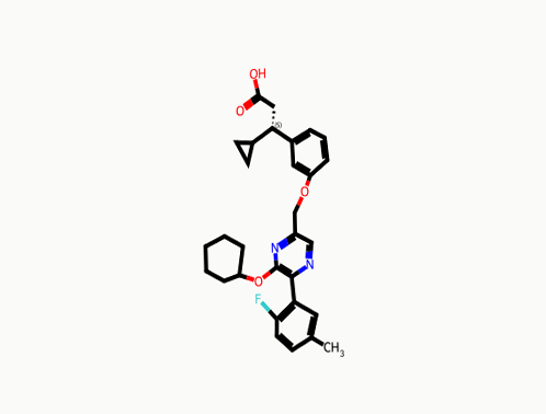 Cc1ccc(F)c(-c2ncc(COc3cccc([C@@H](CC(=O)O)C4CC4)c3)nc2OC2CCCCC2)c1